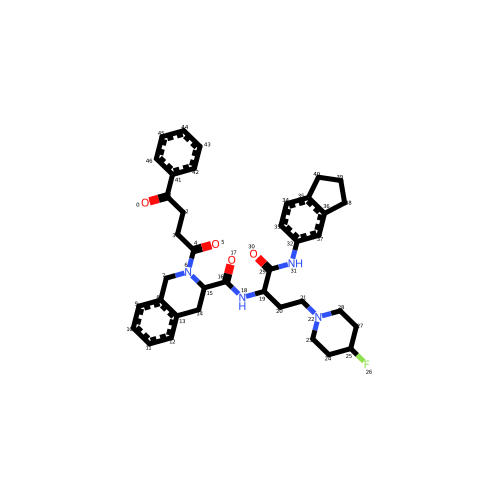 O=C(CCC(=O)N1Cc2ccccc2CC1C(=O)NC(CCN1CCC(F)CC1)C(=O)Nc1ccc2c(c1)CCC2)c1ccccc1